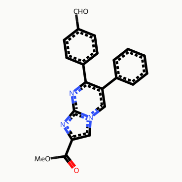 COC(=O)c1cn2cc(-c3ccccc3)c(-c3ccc(C=O)cc3)nc2n1